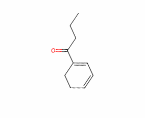 CCCC(=O)C1=CC=CCC1